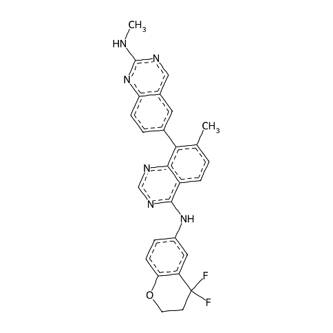 CNc1ncc2cc(-c3c(C)ccc4c(Nc5ccc6c(c5)C(F)(F)CCO6)ncnc34)ccc2n1